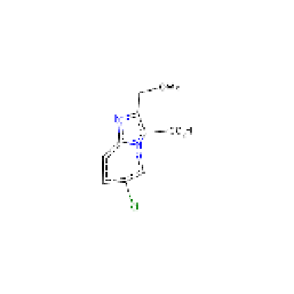 COCc1nc2ccc(Cl)cn2c1C(=O)O